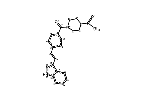 NC(=O)C1CCN(C(=O)c2ccc(/C=C/c3n[nH]c4ccccc34)cc2)CC1